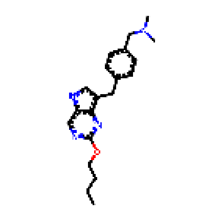 CCCCOc1ncc2[nH]cc(Cc3ccc(CN(C)C)cc3)c2n1